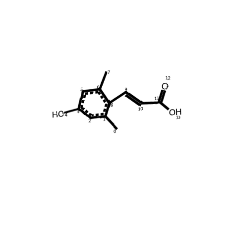 Cc1cc(O)cc(C)c1/C=C/C(=O)O